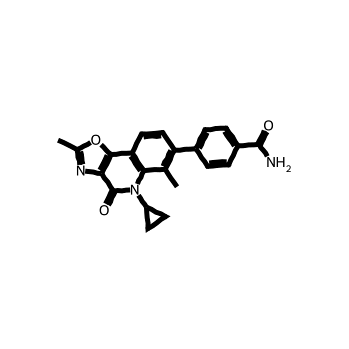 Cc1nc2c(=O)n(C3CC3)c3c(C)c(-c4ccc(C(N)=O)cc4)ccc3c2o1